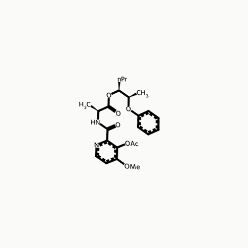 CCC[C@H](OC(=O)[C@H](C)NC(=O)c1nccc(OC)c1OC(C)=O)[C@@H](C)Oc1ccccc1